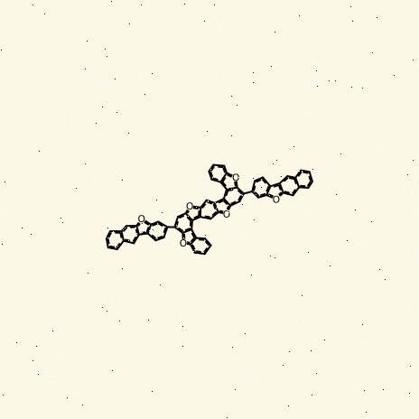 c1ccc2cc3c(cc2c1)oc1cc(-c2cc4oc5cc6c(cc5c4c4c2oc2ccccc24)oc2cc(-c4ccc5c(c4)oc4cc7ccccc7cc45)c4oc5ccccc5c4c26)ccc13